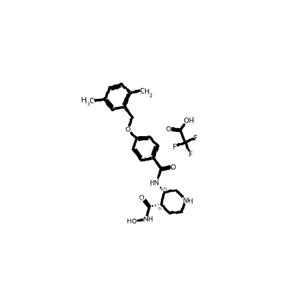 Cc1ccc(C)c(COc2ccc(C(=O)N[C@@H]3CNCC[C@@H]3C(=O)NO)cc2)c1.O=C(O)C(F)(F)F